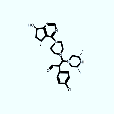 C[C@@H]1CN(C(C(C=O)c2ccc(Cl)cc2)N2CCN(c3ncnc4c3[C@H](C)C[C@H]4O)CC2)C[C@H](C)N1